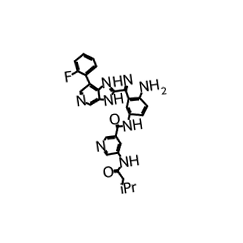 CC(C)CC(=O)Nc1cncc(C(=O)Nc2ccc(N)c(C(=N)c3nc4c(-c5ccccc5F)cncc4[nH]3)c2)c1